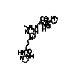 Cc1nc(NC[C@H](NS(=O)(=O)c2ccccc2)C(=O)O)c2ccn(CCCC(=O)NC3=NCCCN3)c2n1